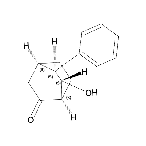 O=C1C[C@H]2CC[C@@H]1[C@@H](O)[C@@H]2c1ccccc1